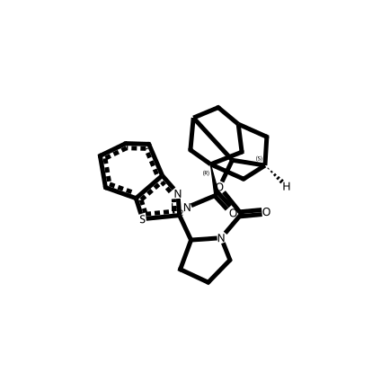 NC(=O)[C@]12CC3CC(C1)C(OC(=O)N1CCCC1c1nc4ccccc4s1)[C@@H](C3)C2